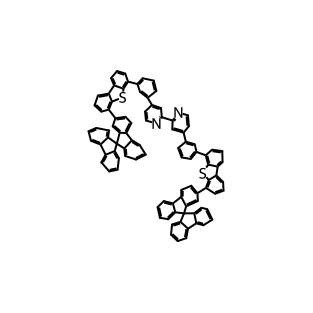 c1cc(-c2ccnc(-c3cc(-c4cccc(-c5cccc6c5sc5c(-c7ccc8c(c7)C7(c9ccccc9-c9ccccc97)c7ccccc7-8)cccc56)c4)ccn3)c2)cc(-c2cccc3c2sc2c(-c4ccc5c(c4)C4(c6ccccc6-c6ccccc64)c4ccccc4-5)cccc23)c1